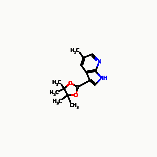 Cc1cnc2[nH]cc(B3OC(C)(C)C(C)(C)O3)c2c1